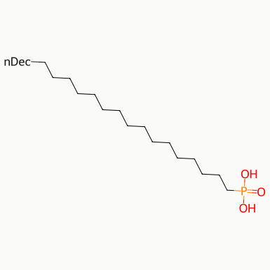 CCCCCCCCCCCCCCCCCCCCCCCCCCP(=O)(O)O